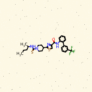 CCCC(C)NC(=S)N1CCC(c2nc(C(=O)Nc3ccccc3-c3cccc(C(F)(F)F)c3)cs2)CC1